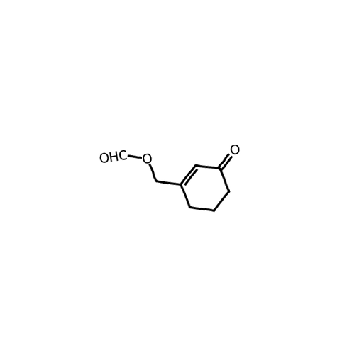 O=COCC1=CC(=O)CCC1